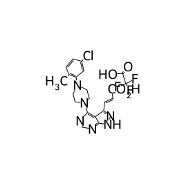 Cc1ccc(Cl)cc1N1CCN(c2ncnc3[nH]nc(C=CC(=O)O)c23)CC1.O=C(O)C(F)(F)F